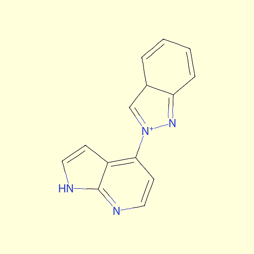 C1=CC2=N[N+](c3ccnc4[nH]ccc34)=CC2C=C1